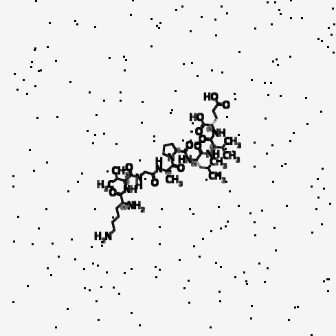 CC(C)C[C@H](NC(=O)[C@@H]1CCCN1C(=O)[C@H](C)NC(=O)CNC(=O)[C@@H](NC(=O)[C@@H](N)CCCCN)C(C)C)C(=O)N[C@H](C(=O)N[C@@H](CCC(=O)O)C(=O)O)C(C)C